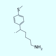 [CH2]C(CCCCN)c1ccc(SC)cc1